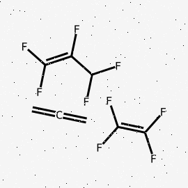 C=C=C.FC(F)=C(F)C(F)F.FC(F)=C(F)F